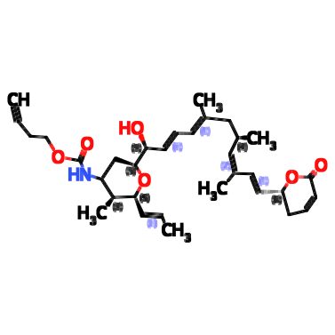 C#CCCOC(=O)NC1C[C@@H]([C@@H](O)/C=C/C=C(\C)C[C@@H](C)/C=C(C)\C=C\[C@H]2CC=CC(=O)O2)O[C@@H](/C=C/C)[C@H]1C